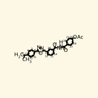 C=C(C)c1ccc(-c2nnc(-c3cccc(C(=O)NNC(=O)c4ccc(OC(C)=O)cc4)c3)o2)cc1